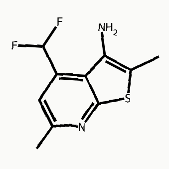 Cc1cc(C(F)F)c2c(N)c(C)sc2n1